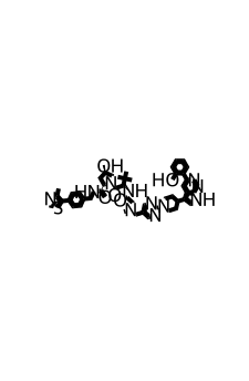 Cc1ncsc1-c1ccc(CNC(=O)[C@@H]2C[C@@H](O)CN2C(=O)[C@@H](NC(=O)CN(C)Cc2cnc(N3CCC(c4c[nH]c5nnc(-c6ccccc6O)cc45)CC3)nc2)C(C)(C)C)cc1